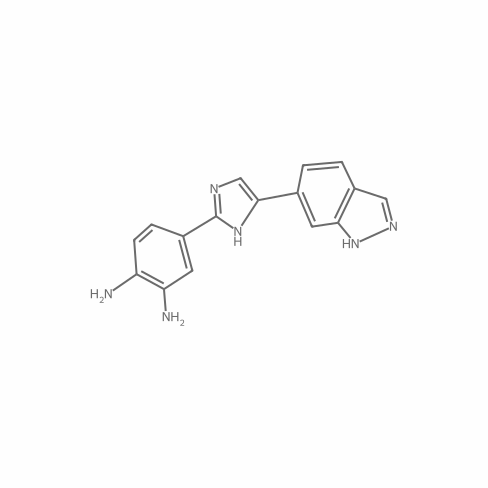 Nc1ccc(-c2ncc(-c3ccc4cn[nH]c4c3)[nH]2)cc1N